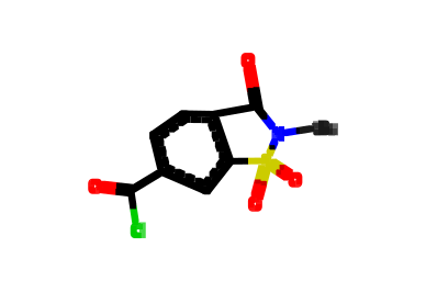 CC(C)(C)N1C(=O)c2ccc(C(=O)Cl)cc2S1(=O)=O